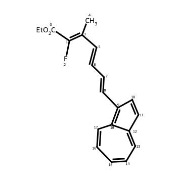 CCOC(=O)C(F)=C(C)C=CC=Cc1ccc2cccccc1-2